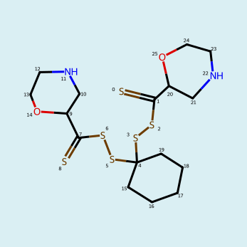 S=C(SSC1(SSC(=S)C2CNCCO2)CCCCC1)C1CNCCO1